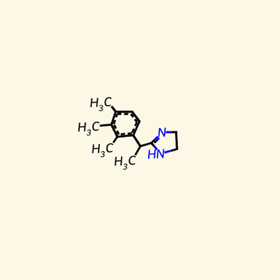 Cc1ccc(C(C)C2=NCCN2)c(C)c1C